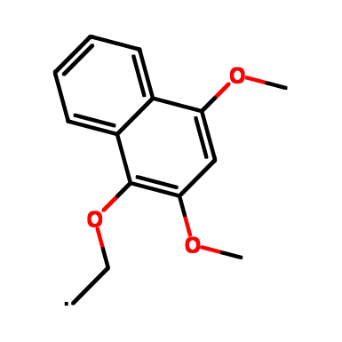 [CH2]COc1c(OC)cc(OC)c2ccccc12